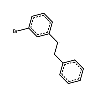 Brc1cccc([CH]Cc2ccccc2)c1